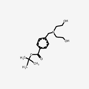 CC(C)(C)OC(=O)c1ccc(CN(CCO)CCO)cc1